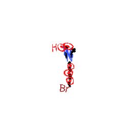 CC(C)(C)C1CN(CCOCCOCCOCCBr)CCN1C(=O)O